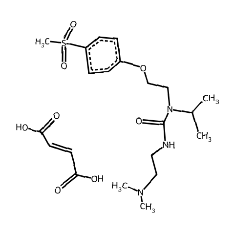 CC(C)N(CCOc1ccc(S(C)(=O)=O)cc1)C(=O)NCCN(C)C.O=C(O)C=CC(=O)O